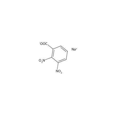 O=C([O-])c1cccc([N+](=O)[O-])c1[N+](=O)[O-].[Na+]